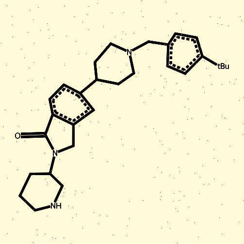 CC(C)(C)c1ccc(CN2CCC(c3ccc4c(c3)CN(C3CCCNC3)C4=O)CC2)cc1